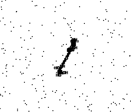 NS(=O)(=O)c1ccc(NS(=O)(=O)c2cccc(CCCCOCCCCCCNC[C@@H](O)c3ccc(O)c(CO)c3)c2)cc1